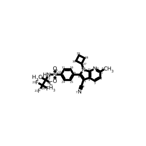 Cc1ccc2c(C#N)c(-c3ccc(S(=O)(=O)NC(C)(C)C(F)(F)F)cc3)n(C3CCC3)c2n1